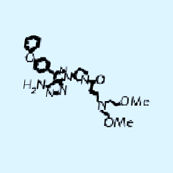 COCCN(CC=CC(=O)N1CC[C@@H](n2nc(-c3ccc(Oc4ccccc4)cc3)c3c(N)ncnc32)C1)CCOC